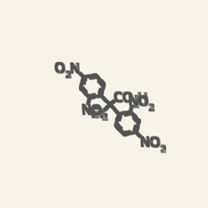 CCC(C(=O)O)(c1ccc([N+](=O)[O-])cc1[N+](=O)[O-])c1ccc([N+](=O)[O-])cc1[N+](=O)[O-]